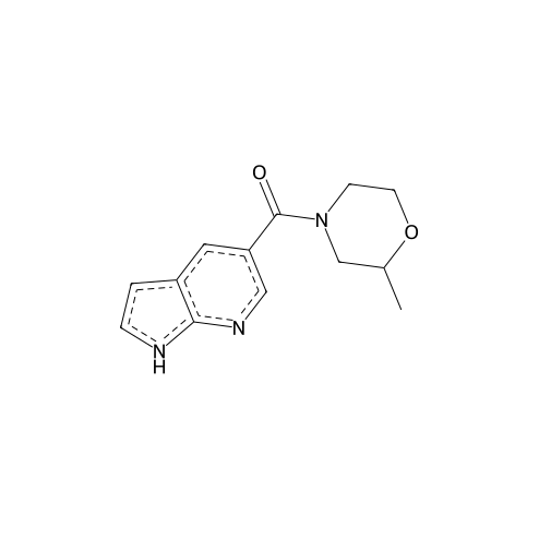 CC1CN(C(=O)c2cnc3[nH]ccc3c2)CCO1